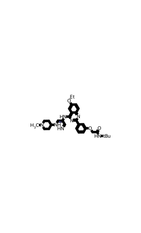 CCOc1ccc2nc(-c3cccc(OCC(=O)NC(C)(C)C)c3)nc(N/C(C=N)=C/NC3CCN(C)CC3)c2c1